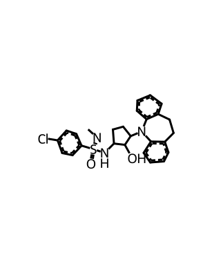 CN=S(=O)(NC1CCC(N2c3ccccc3CCc3ccccc32)C1O)c1ccc(Cl)cc1